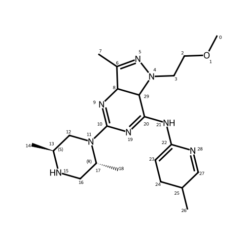 COCCN1N=C(C)C2N=C(N3C[C@H](C)NC[C@H]3C)N=C(NC3=CCC(C)C=N3)C21